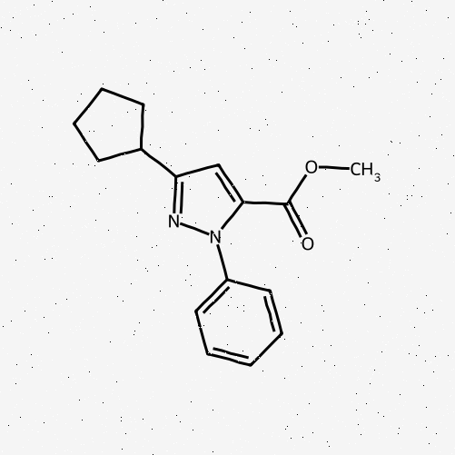 COC(=O)c1cc(C2CCCC2)nn1-c1ccccc1